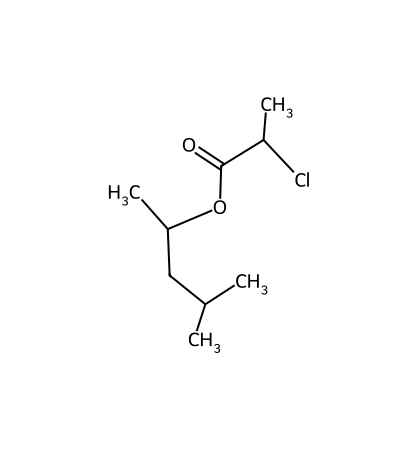 CC(C)CC(C)OC(=O)C(C)Cl